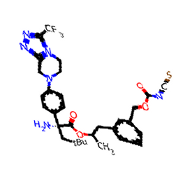 CC(Cc1cccc(COC(=O)N=C=S)c1)OC(=O)[C@@](N)(CC(C)(C)C)c1ccc(N2CCn3c(nnc3C(F)(F)F)C2)cc1